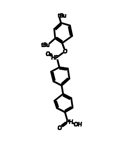 CC(C)(C)c1ccc(O[PH](=O)c2ccc(-c3ccc([PH](=O)O)cc3)cc2)c(C(C)(C)C)c1